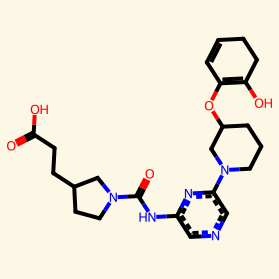 O=C(O)CCC1CCN(C(=O)Nc2cncc(N3CCCC(OC4=C(O)CCC=C4)C3)n2)C1